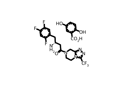 N[C@@H](CC(=O)N1CCn2c(nnc2C(F)(F)F)C1)Cc1cc(F)c(F)cc1F.O=C(O)c1cc(O)ccc1O